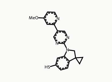 COc1ccnc(-c2cnc(N3CC4(CC4)c4ccc(S)cc43)nc2)c1